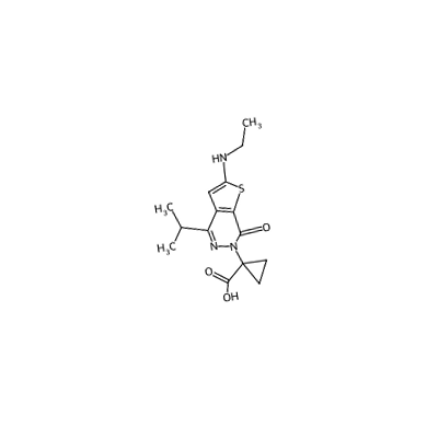 CCNc1cc2c(C(C)C)nn(C3(C(=O)O)CC3)c(=O)c2s1